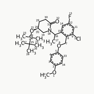 COc1ccc(OCc2c(Cl)cc(F)cc2C(C)N2C[C@@H](O[Si](C)(C)C(C)(C)C)CCC2=O)cc1